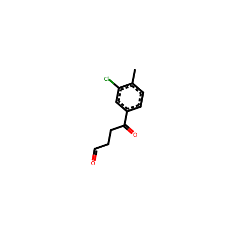 Cc1ccc(C(=O)CCC=O)cc1Cl